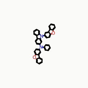 c1ccc(N(c2ccc3oc4ccccc4c3c2)c2ccc3c4ccccc4n(-c4ccc5oc6ccccc6c5c4)c3c2)cc1